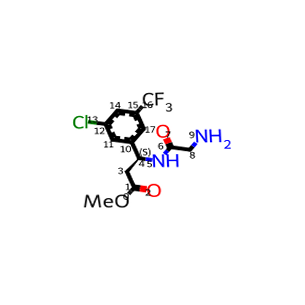 COC(=O)C[C@H](NC(=O)CN)c1cc(Cl)cc(C(F)(F)F)c1